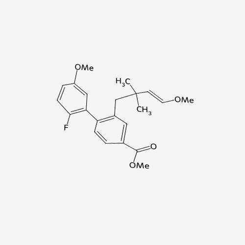 COC=CC(C)(C)Cc1cc(C(=O)OC)ccc1-c1cc(OC)ccc1F